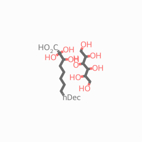 CCCCCCCCCCCCCCCC(O)C(O)(O)C(=O)O.OCC(O)C(O)C(O)C(O)CO